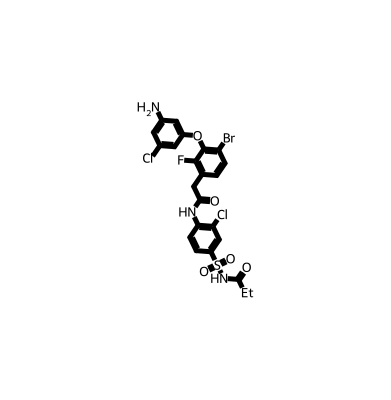 CCC(=O)NS(=O)(=O)c1ccc(NC(=O)Cc2ccc(Br)c(Oc3cc(N)cc(Cl)c3)c2F)c(Cl)c1